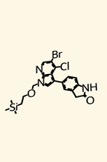 C[Si](C)(C)CCOCn1cc(-c2ccc3c(c2)CC(=O)N3)c2c(Cl)c(Br)cnc21